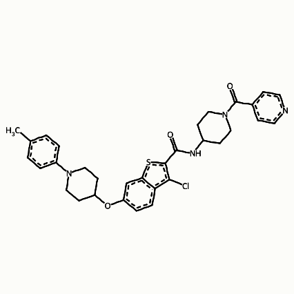 Cc1ccc(N2CCC(Oc3ccc4c(Cl)c(C(=O)NC5CCN(C(=O)c6ccncc6)CC5)sc4c3)CC2)cc1